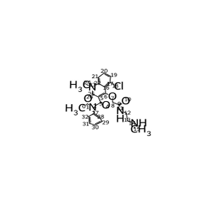 CCN(C(=O)c1c(OCC(=O)NCCNC)c2c(Cl)cccc2n(C)c1=O)c1ccccc1